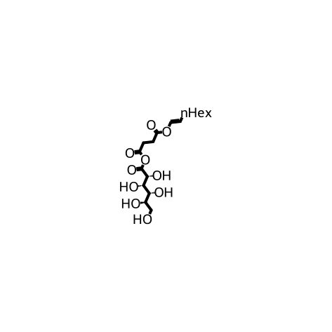 CCCCCCC=COC(=O)CCC(=O)OC(=O)[C@H](O)[C@@H](O)[C@H](O)[C@H](O)CO